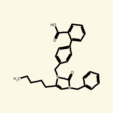 CCCCCc1cn(Cc2ccccc2)c(=O)n1Cc1ccc(-c2ccccc2C(=O)O)cc1